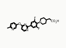 Cc1ccc(Oc2ccnc(-c3cc(F)c(N4CCC(CC(=O)O)CC4)c(F)c3)n2)cn1